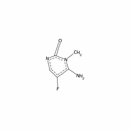 Cn1c(N)c(F)cnc1=O